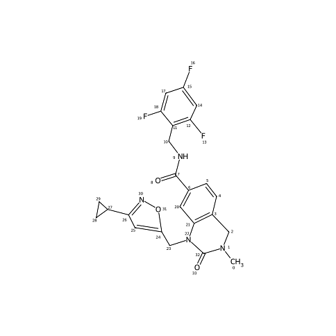 CN1Cc2ccc(C(=O)NCc3c(F)cc(F)cc3F)cc2N(Cc2cc(C3CC3)no2)C1=O